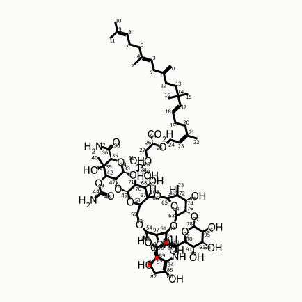 C=C(C/C=C(\C)CCC=C(C)C)CCC(C)(C)/C=C/CC/C(C)=C\CO[C@H](CO[PH](O)(O)O[C@@H]1O[C@H](C(N)=O)C(C)(O)C(OC(N)=O)[C@H]1O[C@@H]1OC2CO[C@@H]3OC(CO)[C@@H](O)[C@H](OC4O[C@@H](O[C@H]2[C@H](O)C1C)C(C)[C@@H](O)[C@@H]4O[C@@H]1OC(C(=O)NC2=C(O)CCC2=O)[C@H](O)[C@H](O)C1O)C3O)C(=O)O